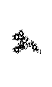 C#C[C@@]1(OC(=O)c2ccccc2)[C@@H](COC(=O)c2ccc(Cl)cc2)OC(OC(=O)c2ccccc2)[C@@H]1OC(=O)c1ccccc1